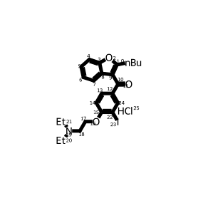 CCCCc1oc2ccccc2c1C(=O)c1ccc(OCCN(CC)CC)c(I)c1.Cl